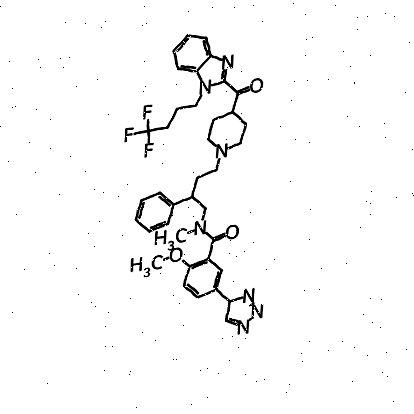 COc1ccc(C2C=NN=N2)cc1C(=O)N(C)CC(CCN1CCC(C(=O)c2nc3ccccc3n2CCCC(F)(F)F)CC1)c1ccccc1